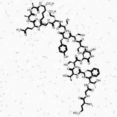 CC(C)C[C@H](NC(=O)[C@H](Cc1ccc(O)cc1)NC(=O)[C@H](CO)NC(=O)[C@H](CO)NC(=O)[C@@H](NC(=O)[C@H](CC(=O)O)NC(=O)[C@H](CO)NC(=O)[C@@H](NC(=O)[C@H](Cc1ccccc1)NC(=O)[C@@H](NC(=O)CNC(=O)[C@@H](N)CCC(=O)O)[C@@H](C)O)[C@@H](C)O)C(C)C)C(=O)N[C@@H](CCC(=O)O)C(=O)NCC(=O)N[C@@H](CCC(N)=O)C(=O)N[C@@H](C)C(=O)N[C@@H](C)C(=O)N[C@@H](CCCCN)C(=O)O